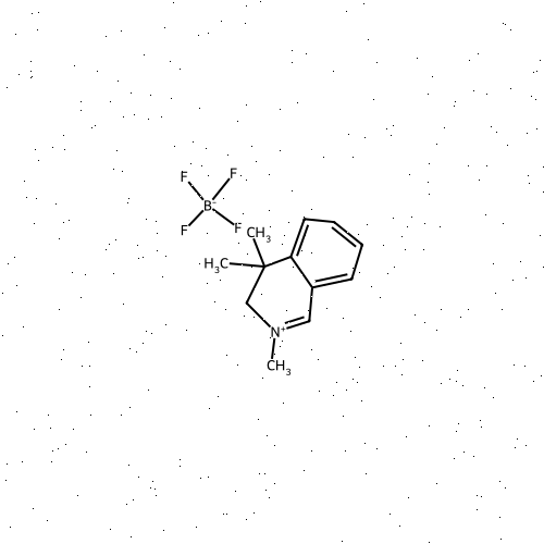 C[N+]1=Cc2ccccc2C(C)(C)C1.F[B-](F)(F)F